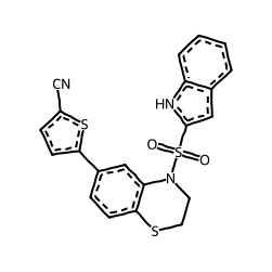 N#Cc1ccc(-c2ccc3c(c2)N(S(=O)(=O)c2cc4ccccc4[nH]2)CCS3)s1